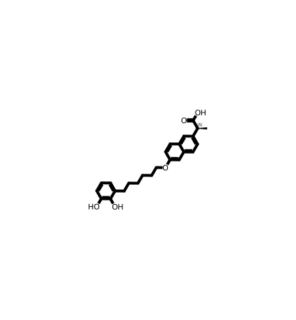 C[C@H](C(=O)O)c1ccc2cc(OCCCCCCc3cccc(O)c3O)ccc2c1